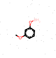 BOc1cccc(OC)c1